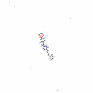 Fc1cc(C2OCCCO2)ccc1-c1nc2ccc(CCC=Cc3ccccc3)nc2s1